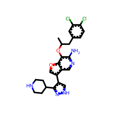 CC(Cc1ccc(Cl)c(Cl)c1)Oc1c(N)ncc2c(-c3c[nH]nc3C3CCNCC3)coc12